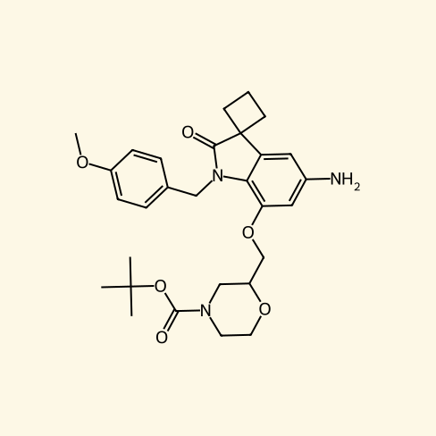 COc1ccc(CN2C(=O)C3(CCC3)c3cc(N)cc(OCC4CN(C(=O)OC(C)(C)C)CCO4)c32)cc1